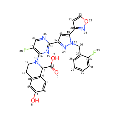 O=C(O)C1c2ccc(O)cc2CCN1c1nc(-c2cc(-c3ccon3)n(Cc3ccccc3F)n2)ncc1F